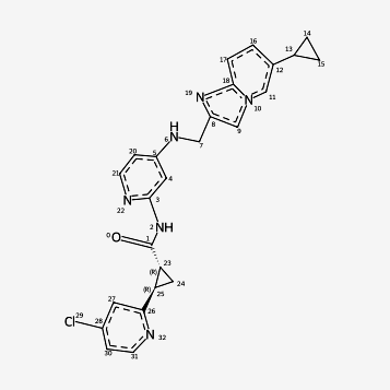 O=C(Nc1cc(NCc2cn3cc(C4CC4)ccc3n2)ccn1)[C@@H]1C[C@H]1c1cc(Cl)ccn1